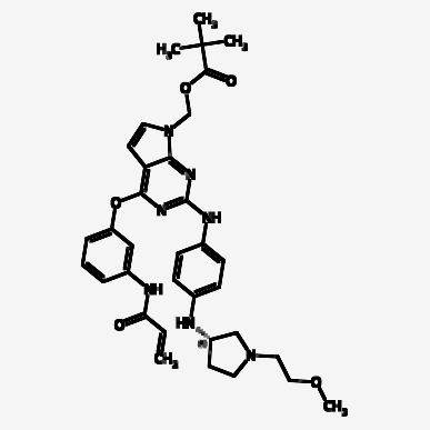 C=CC(=O)Nc1cccc(Oc2nc(Nc3ccc(N[C@H]4CCN(CCOC)C4)cc3)nc3c2ccn3COC(=O)C(C)(C)C)c1